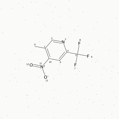 Cc1cnc(C(F)(F)F)cc1[N+](=O)[O-]